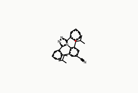 Cc1ccccc1-c1nnc(-c2ccccc2)n1-c1c(CC(C)C)cc(C#N)cc1CC(C)C